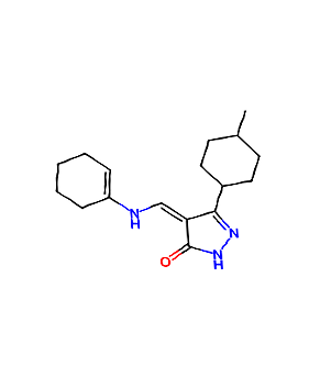 CC1CCC(C2=NNC(=O)/C2=C\NC2=CCCCC2)CC1